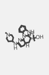 CN1CCC(NC2=CC[C@H]3C[C@@H](C(C)(C)O)[C@H]4Nc5ccccc5N4C3=N2)CC1